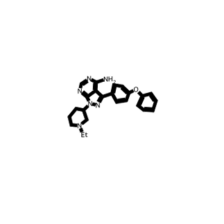 CCN1CCCC(n2nc(-c3ccc(Oc4ccccc4)cc3)c3c(N)ncnc32)C1